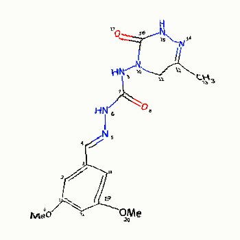 COc1cc(/C=N/NC(=O)NN2CC(C)=NNC2=O)cc(OC)c1